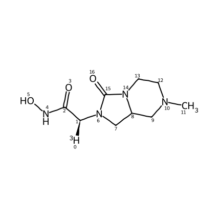 [3H][C@@H](C(=O)NO)N1CC2CN(C)CCN2C1=O